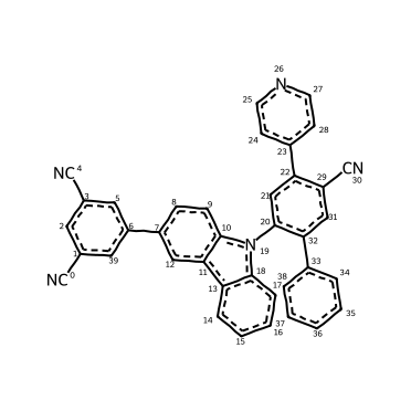 N#Cc1cc(C#N)cc(-c2ccc3c(c2)c2ccccc2n3-c2cc(-c3ccncc3)c(C#N)cc2-c2ccccc2)c1